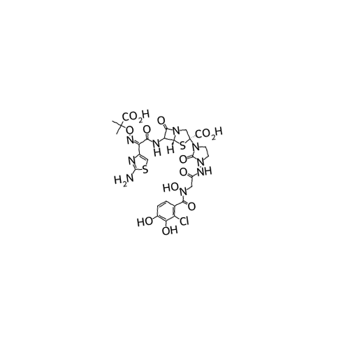 CC(C)(O/N=C(\C(=O)NC1C(=O)N2C[C@@](C(=O)O)(N3CCN(NC(=O)CN(O)C(=O)c4ccc(O)c(O)c4Cl)C3=O)S[C@H]12)c1csc(N)n1)C(=O)O